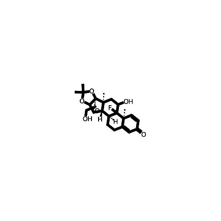 CC1(C)OC2C[C@H]3[C@@H]4CCC5=CC(=O)C=C[C@]5(C)C4(F)C(O)C[C@]3(C)[C@]2(C(=O)CO)O1